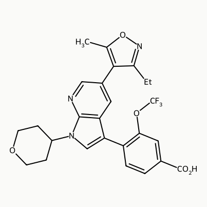 CCc1noc(C)c1-c1cnc2c(c1)c(-c1ccc(C(=O)O)cc1OC(F)(F)F)cn2C1CCOCC1